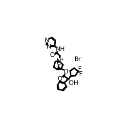 O=C(C[N+]12CCC(CC1)C(OC(=O)[C@](O)(c1ccccc1)C1CCC(F)(F)C1)C2)Nc1ccncn1.[Br-]